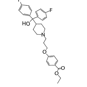 CCOC(=O)c1ccc(OCCCN2CCC(C(O)(c3ccc(F)cc3)c3ccc(F)cc3)CC2)cc1